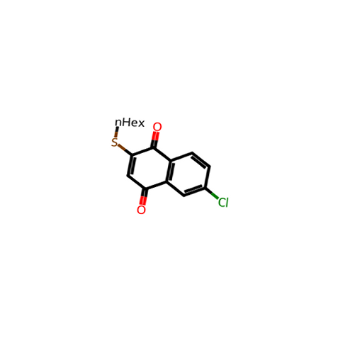 CCCCCCSC1=CC(=O)c2cc(Cl)ccc2C1=O